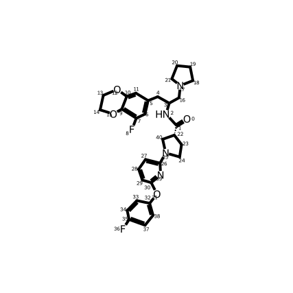 O=C(NC(Cc1cc(F)c2c(c1)OCCO2)CN1CCCC1)[C@@H]1CCN(c2cccc(Oc3ccc(F)cc3)n2)C1